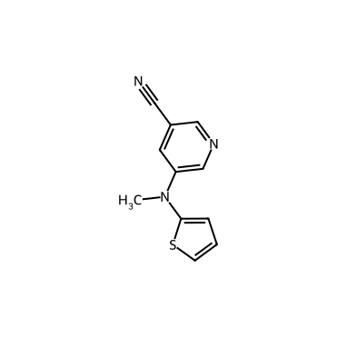 CN(c1cncc(C#N)c1)c1cccs1